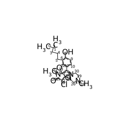 CC(C)CCCc1c(O)ccc2c1OC1(C(Cl)=C(Cl)C(=O)N1C)C2N1CCN(C)CC1